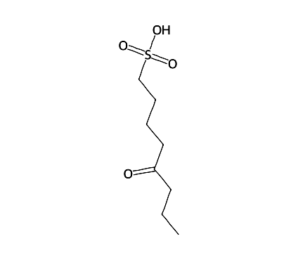 CCCC(=O)CCCCS(=O)(=O)O